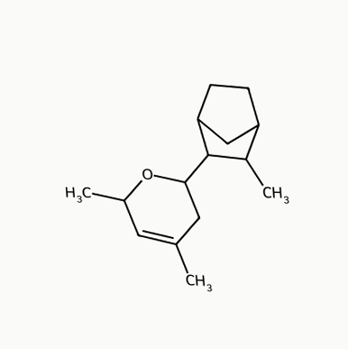 CC1=CC(C)OC(C2C3CCC(C3)C2C)C1